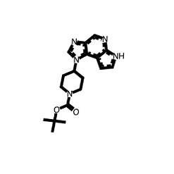 CC(C)(C)OC(=O)N1CCC(n2cnc3cnc4[nH]ccc4c32)CC1